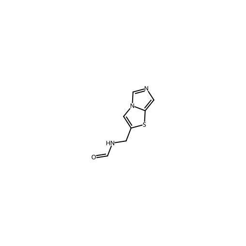 O=CNCc1cn2cncc2s1